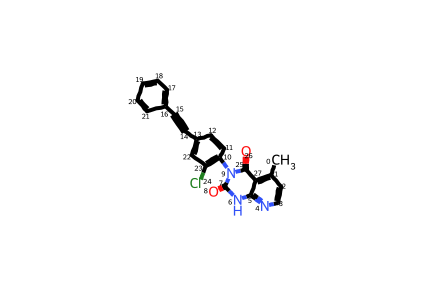 Cc1ccnc2[nH]c(=O)n(-c3ccc(C#Cc4ccccc4)cc3Cl)c(=O)c12